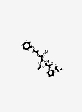 CCO[C@@H](N[C@@H](C)C(=O)N1CCC[C@H]1C(=O)OC)C(=C=O)SCCSC1CCCCC1